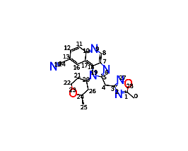 Cc1nc(Cc2nc3cnc4ccc(C#N)cc4c3n2C2CCO[C@H](C)C2)no1